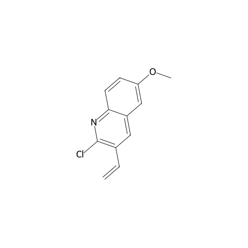 C=Cc1cc2cc(OC)ccc2nc1Cl